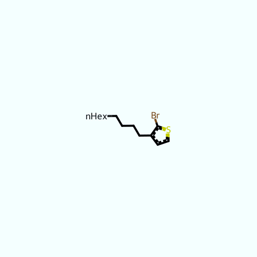 CCCCCCCCCCc1ccsc1Br